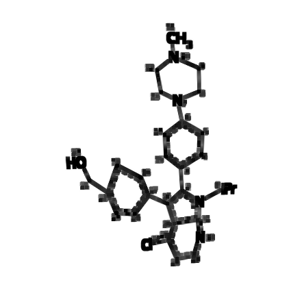 CC(C)n1c(-c2ccc(N3CCN(C)CC3)cc2)c(-c2ccc(CO)cc2)c2c(Cl)ccnc21